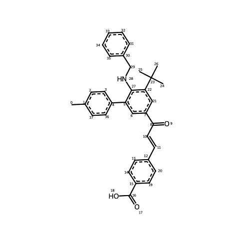 Cc1ccc(-c2cc(C(=O)C=Cc3ccc(C(=O)O)cc3)cc(C(C)(C)C)c2NCc2ccccc2)cc1